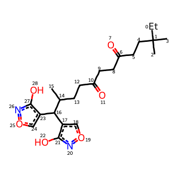 CCC(C)(C)CCC(=O)CCC(=O)CCC(C)C(c1conc1O)c1conc1O